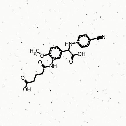 COc1ccc(C(Nc2ccc(C#N)cc2)C(=O)O)cc1NC(=O)CCCC(=O)O